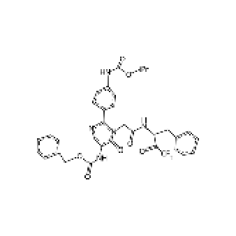 CC(C)OC(=O)Nc1ccc(-c2ncc(NC(=O)OCc3ccccc3)c(=O)n2CC(=O)NC(Cc2ccccc2)C(=O)C(F)(F)F)cc1